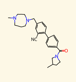 CC1CCN(C(=O)c2ccc(-c3ccc(CN4CCCN(C)CC4)cc3C#N)cc2)C1